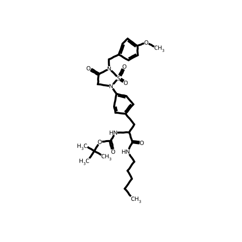 CCCCCNC(=O)C(Cc1ccc(N2CC(=O)N(Cc3ccc(OC)cc3)S2(=O)=O)cc1)NC(=O)OC(C)(C)C